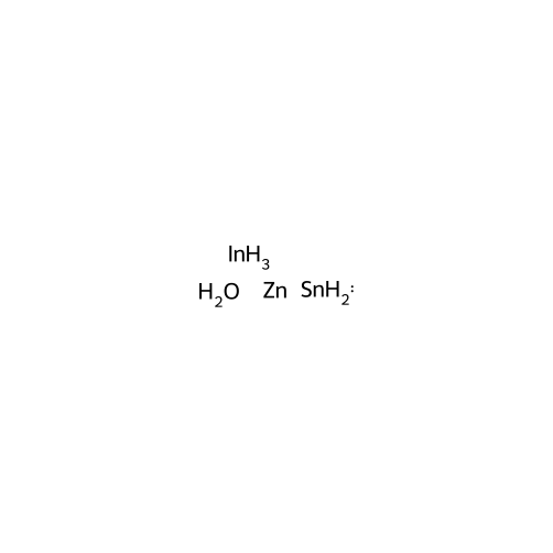 O.[InH3].[SnH2].[Zn]